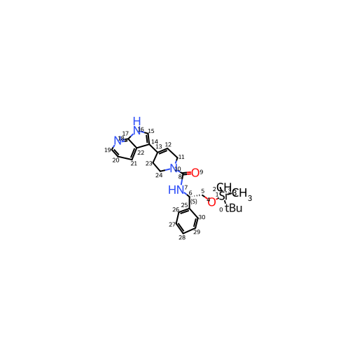 CC(C)(C)[Si](C)(C)OC[C@@H](NC(=O)N1CC=C(c2c[nH]c3ncccc23)CC1)c1ccccc1